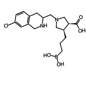 O=C(O)[C@@H]1CN(CC2Cc3ccc(Cl)cc3CN2)C[C@@H]1CCCB(O)O